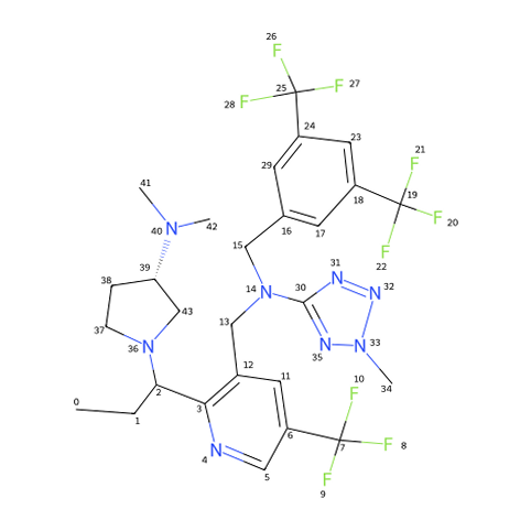 CCC(c1ncc(C(F)(F)F)cc1CN(Cc1cc(C(F)(F)F)cc(C(F)(F)F)c1)c1nnn(C)n1)N1CC[C@H](N(C)C)C1